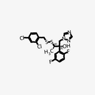 C[C@@H](SSCc1ccc(Cl)cc1Cl)[C@](O)(Cn1cncn1)c1cc(F)ccc1F